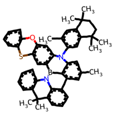 Cc1cc2c3c(c1)N(c1cc4c(cc1C)C(C)(C)CCC4(C)C)c1cc4c(cc1B3N1c3ccccc3C(C)(C)c3cccc-2c31)Sc1ccccc1O4